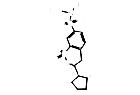 CN(C)S(=O)(=O)c1ccc2c(c1)S(=O)(=O)NC(C1CCCC1)C2